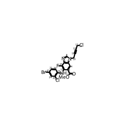 COC(=O)c1cc2c(ncn2CC#CCCl)c(F)c1Nc1ccc(Br)cc1Cl